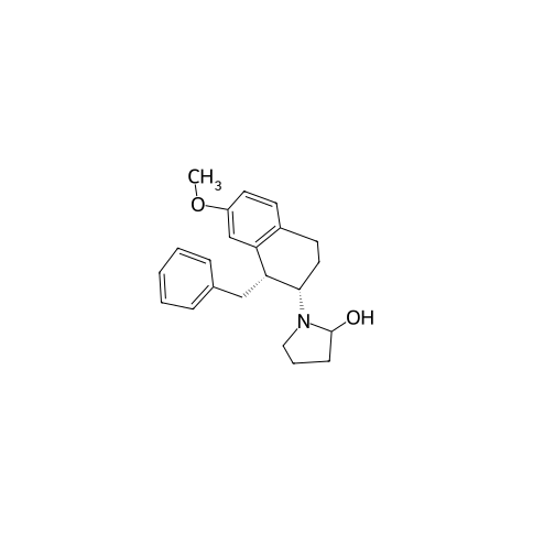 COc1ccc2c(c1)[C@@H](Cc1ccccc1)[C@@H](N1CCCC1O)CC2